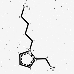 NCCCCn1cccc1CO